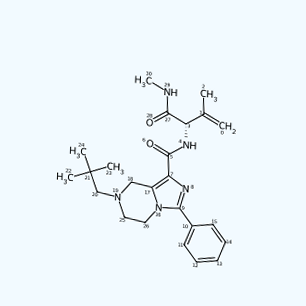 C=C(C)[C@H](NC(=O)c1nc(-c2ccccc2)n2c1CN(CC(C)(C)C)CC2)C(=O)NC